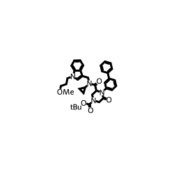 COCCCn1cc(CN(C(=O)C2CN(C(=O)OC(C)(C)C)CC(=O)N2c2cccc(-c3ccccc3)c2)C2CC2)c2ccccc21